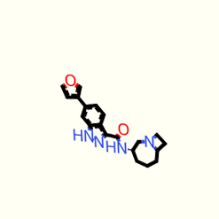 O=C(N[C@H]1CCCC2CCN2C1)c1n[nH]c2cc(-c3ccoc3)ccc12